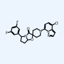 O=C1N2C(CCC2c2cc(F)cc(F)c2)OC12CCN(c1ccc(Cl)c3ccnn13)CC2